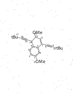 COc1ccc2c(c1)C(C#CC(C)(C)C)=CC(OC)C2C#CC(C)(C)C